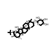 C[C@@H]1C[C@H]2OC3(O[C@@H]2C(C)(C)C)[C@H](O)[C@@]2(C)[C@@H]4CC[C@H]5C(C)(C)[C@@H](O[C@@H]6OC[C@@H](O)[C@H](O)[C@H]6O)CC[C@@]56C[C@@]46CC[C@]2(C)[C@@H]13